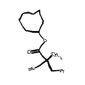 CC(C)CC(C)(C(=O)OC1CCCCC1)C(C)(C)C